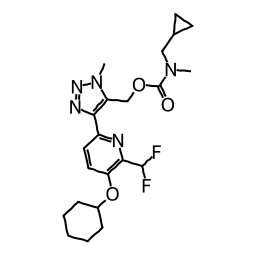 CN(CC1CC1)C(=O)OCc1c(-c2ccc(OC3CCCCC3)c(C(F)F)n2)nnn1C